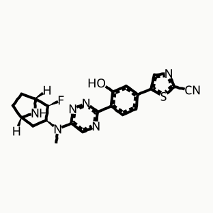 CN(c1cnc(-c2ccc(-c3cnc(C#N)s3)cc2O)nn1)[C@H]1C[C@@H]2CC[C@@H](N2)[C@H]1F